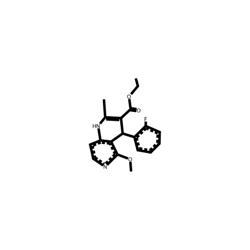 CCOC(=O)C1=C(C)Nc2ccnc(OC)c2C1c1ccccc1F